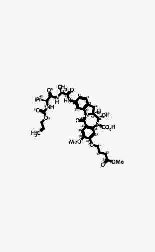 C=CCOC(=O)N[C@H](C(=O)N[C@@H](C)C(=O)Nc1ccc2c(c1)N1C(=O)c3cc(OC)c(OCCCC(=O)OC)cc3N(C(=O)O)[C@@H](O)[C@@H]1C2)C(C)C